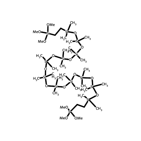 CO[Si](CC[Si](C)(C)O[Si](C)(C)O[Si](C)(C)O[Si](C)(C)O[Si](C)(C)O[Si](C)(C)O[Si](C)(C)O[Si](C)(C)O[Si](C)(C)O[Si](C)(C)O[Si](C)(C)CC[Si](OC)(OC)OC)(OC)OC